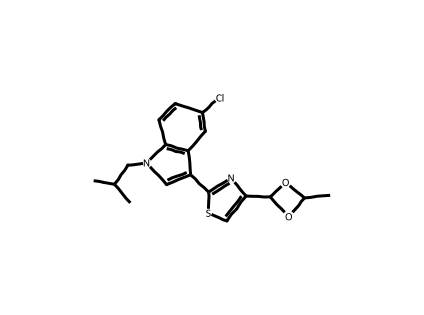 CC(C)Cn1cc(-c2nc(C3OC(C)O3)cs2)c2cc(Cl)ccc21